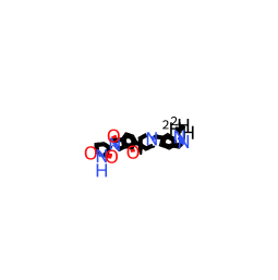 [2H]C([2H])([2H])n1ncc2ccc(CN3CCC4(CC3)COc3c4ccc4c3CN([C@H]3CCC(=O)NC3=O)C4=O)cc21